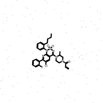 C=CC(=O)N1CCN(C2=NS(=O)(=O)N(c3ccccc3CCCC)c3nc(-c4ccccc4F)c(Cl)cc32)C(C)C1